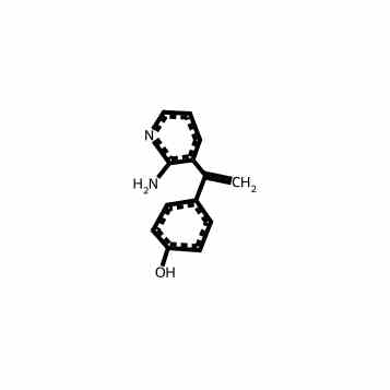 C=C(c1ccc(O)cc1)c1cccnc1N